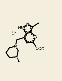 Cc1n[nH]c2c(CN3CCC[C@H](C)C3)cc(C(=O)[O-])nc12.[Li+]